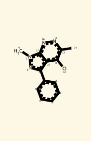 Cn1nc(-c2ccccc2)c2c(Cl)c(I)nnc21